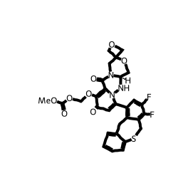 COC(=O)OCOc1c2n(c(-c3cc(F)c(F)c4c3Cc3ccccc3SC4)cc1=O)N[C@@H]1COC3(COC3)CN1C2=O